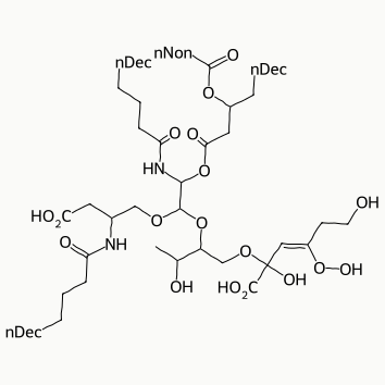 CCCCCCCCCCCCCC(=O)NC(COC(OC(COC(O)(/C=C(/CCO)OO)C(=O)O)C(C)O)C(NC(=O)CCCCCCCCCCCCC)OC(=O)CC(CCCCCCCCCCC)OC(=O)CCCCCCCCC)CC(=O)O